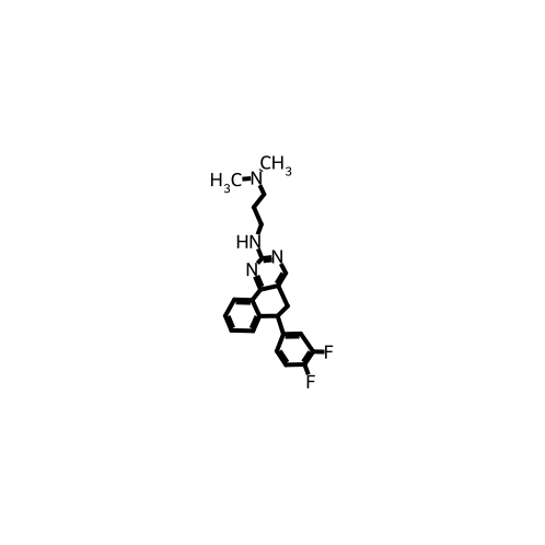 CN(C)CCCNc1ncc2c(n1)-c1ccccc1C(c1ccc(F)c(F)c1)C2